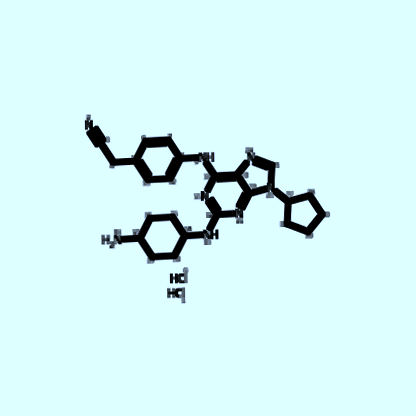 Cl.Cl.N#CCc1ccc(Nc2nc(NC3CCC(N)CC3)nc3c2ncn3C2CCCC2)cc1